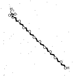 CS(=O)(=O)OCCOCCOCCOCCOCCOCCOCCOCCOCCOCCO